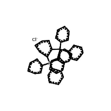 [Cl-].c1ccc(C(c2ccccc2)(c2ccccc2)c2ccccc2[P+](c2ccccc2)(c2ccccc2)c2ccccc2)cc1